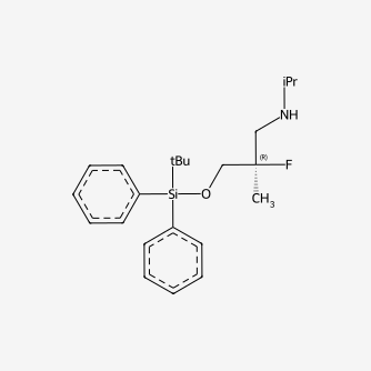 CC(C)NC[C@@](C)(F)CO[Si](c1ccccc1)(c1ccccc1)C(C)(C)C